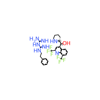 N=C(N)NC(=N)NCCc1ccccc1.O[C@@H](c1cc(C(F)(F)F)nc2c(C(F)(F)F)cccc12)[C@H]1CCCCN1